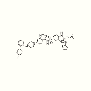 CN(C)CC[C@H](CSc1cccs1)Nc1ccc(S(=O)(=O)Nc2ncnc3cc(N4CCN(Cc5ccccc5-c5ccc(Cl)cc5)CC4)ccc23)cc1[N+](=O)[O-]